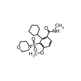 CNC(=O)c1ccc(OC)c(S(=O)(=O)N2CCOCC2)c1C1CCCCC1